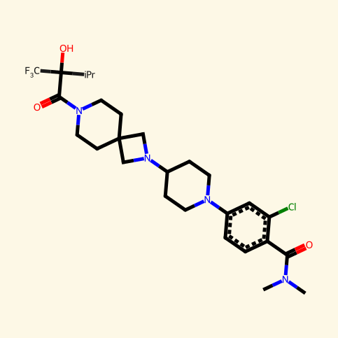 CC(C)C(O)(C(=O)N1CCC2(CC1)CN(C1CCN(c3ccc(C(=O)N(C)C)c(Cl)c3)CC1)C2)C(F)(F)F